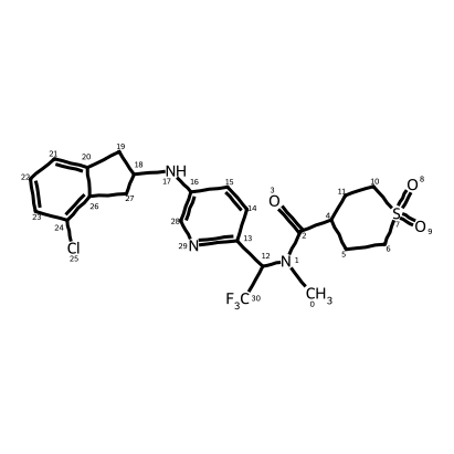 CN(C(=O)C1CCS(=O)(=O)CC1)C(c1ccc(NC2Cc3cccc(Cl)c3C2)cn1)C(F)(F)F